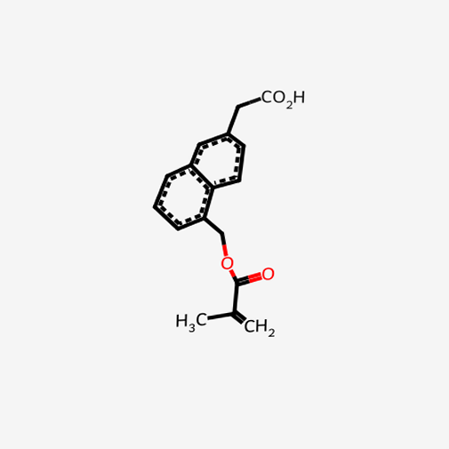 C=C(C)C(=O)OCc1cccc2cc(CC(=O)O)ccc12